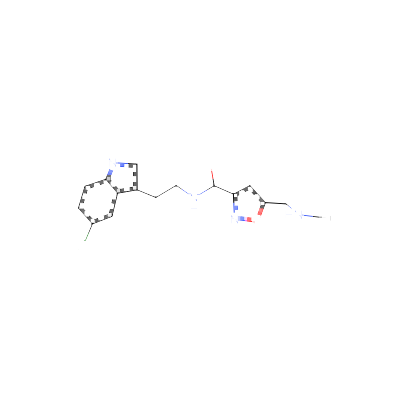 CCNCc1cc(C(O)NCCc2c[nH]c3ccc(Cl)cc23)no1